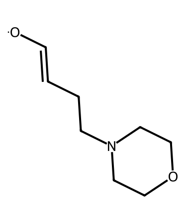 [O]C=CCCN1CCOCC1